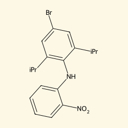 CC(C)c1cc(Br)cc(C(C)C)c1Nc1ccccc1[N+](=O)[O-]